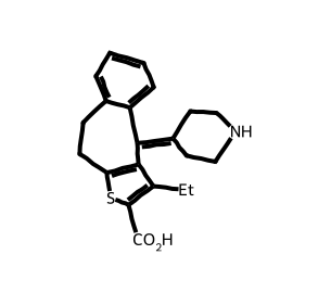 CCc1c(C(=O)O)sc2c1C(=C1CCNCC1)c1ccccc1CC2